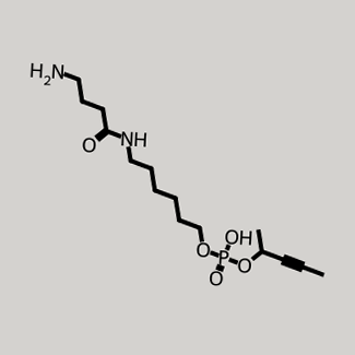 CC#CC(C)OP(=O)(O)OCCCCCCNC(=O)CCCN